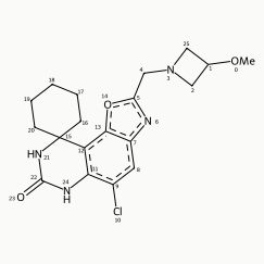 COC1CN(Cc2nc3cc(Cl)c4c(c3o2)C2(CCCCC2)NC(=O)N4)C1